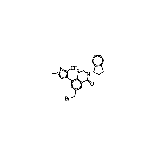 Cn1cc(-c2cc(CBr)cc3c2CCN([C@H]2CCc4ccccc42)C3=O)c(C(F)(F)F)n1